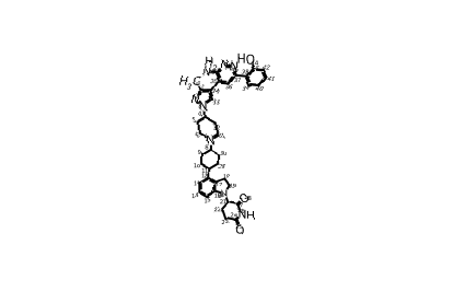 Cc1nn(C2CCN(C3CCC(c4cccc5c4CCN5C4CCC(=O)NC4=O)CC3)CC2)cc1-c1cc(-c2ccccc2O)nnc1N